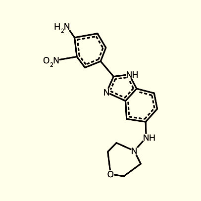 Nc1ccc(-c2nc3cc(NN4CCOCC4)ccc3[nH]2)cc1[N+](=O)[O-]